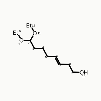 CCOC(CCC/C=C/CCO)OCC